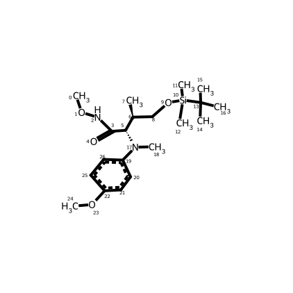 CONC(=O)[C@H]([C@@H](C)CO[Si](C)(C)C(C)(C)C)N(C)c1ccc(OC)cc1